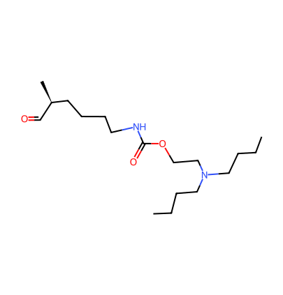 CCCCN(CCCC)CCOC(=O)NCCCC[C@H](C)C=O